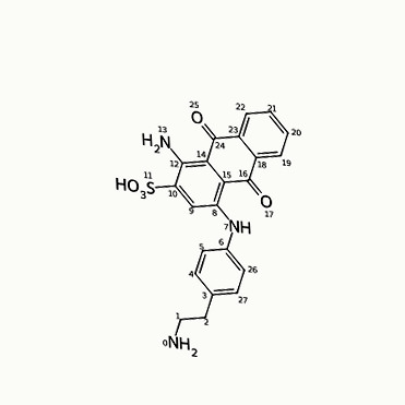 NCCc1ccc(Nc2cc(S(=O)(=O)O)c(N)c3c2C(=O)c2ccccc2C3=O)cc1